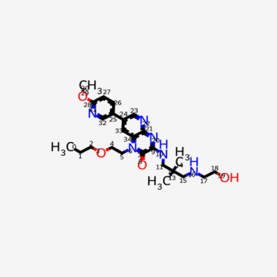 CCCOCCn1c(=O)c(NCC(C)(C)CNCCO)nc2ncc(-c3ccc(OC)nc3)cc21